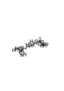 CCCOC(C)(OCCC)[SiH2]CCCNCCC[SiH2]C(C)(OCCC)OCCC